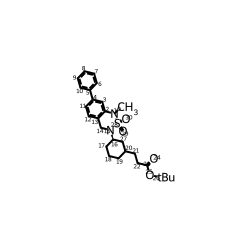 CN1c2cc(-c3ccccc3)ccc2CN([C@@H]2CCCC(CCC(=O)OC(C)(C)C)C2)S1(=O)=O